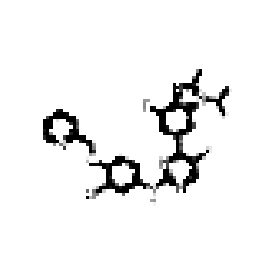 Cc1nc2c(F)cc(-c3nc(Nc4ccc(OCc5ccccn5)c(Cl)c4)ncc3F)cc2n1C(C)C